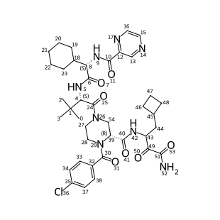 CC(C)(C)[C@H](NC(=O)[C@@H](NC(=O)c1cnccn1)C1CCCCC1)C(=O)N1CCN(C(=O)c2ccc(Cl)cc2)[C@@H](C(=O)NC(CC2CCC2)C(=O)C(N)=O)C1